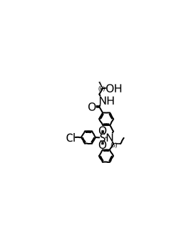 CC[C@@H](c1ccccc1)N(Cc1ccc(C(=O)NC[C@@H](C)O)cc1)S(=O)(=O)c1ccc(Cl)cc1